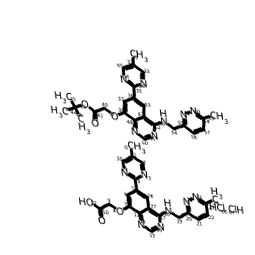 Cc1cnc(-c2cc(OCC(=O)O)c3ncnc(NCc4ccc(C)nn4)c3c2)nc1.Cc1cnc(-c2cc(OCC(=O)OC(C)(C)C)c3ncnc(NCc4ccc(C)nn4)c3c2)nc1.Cl.Cl